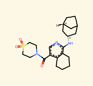 O=C(c1cnc(N[C@H]2CC3CC[C@H](C3)C2)c2c1CCCC2)N1CCS(=O)(=O)CC1